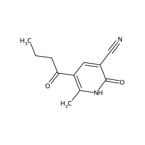 CCCC(=O)c1cc(C#N)c(=O)[nH]c1C